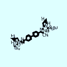 CC(C)(C)OC(=O)N1[C@@H]2C[C@@H]2C[C@H]1c1nc(-c2ccc(-c3ccc(-c4nc([C@@H]5C[C@H]6C[C@H]6N5C(=O)OC(C)(C)C)[nH]c4C#N)cc3)cc2)c[nH]1